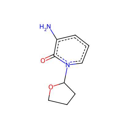 Nc1cccn(C2CCCO2)c1=O